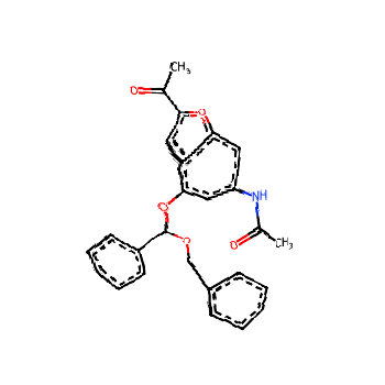 CC(=O)Nc1cc(OC(OCc2ccccc2)c2ccccc2)c2cc(C(C)=O)oc2c1